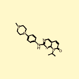 CC(C)n1c(=O)ccc2cnc(Nc3ccc(N4CCN(C)CC4)cc3)nc21